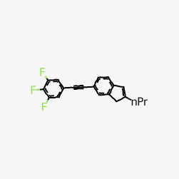 CCCC1=Cc2ccc(C#Cc3cc(F)c(F)c(F)c3)cc2C1